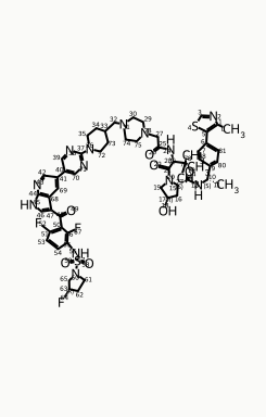 Cc1ncsc1-c1ccc([C@H](C)NC(=O)[C@@H]2C[C@@H](O)CN2C(=O)[C@@H](NC(=O)CN2CCN(CC3CCN(c4ncc(-c5cnc6[nH]cc(C(=O)c7c(F)ccc(NS(=O)(=O)N8CC[C@@H](F)C8)c7F)c6c5)cn4)CC3)CC2)C(C)(C)C)cc1